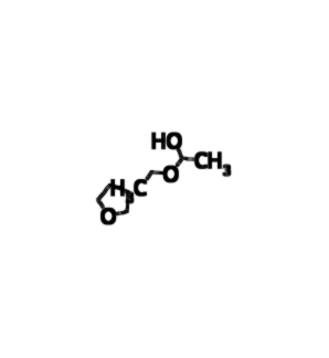 C1CCOC1.CCOC(C)O